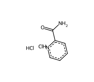 Cl.Cl.NC(=O)c1ccccn1